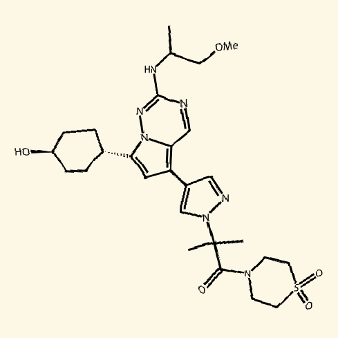 COCC(C)Nc1ncc2c(-c3cnn(C(C)(C)C(=O)N4CCS(=O)(=O)CC4)c3)cc([C@H]3CC[C@H](O)CC3)n2n1